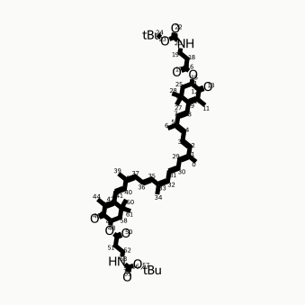 CC(C=CC=C(C)C=CC1=C(C)C(=O)C(OC(=O)CCNC(=O)OC(C)(C)C)CC1(C)C)=CC=CC=C(C)C=CC=C(C)C=CC1=C(C)C(=O)C(OC(=O)CCNC(=O)OC(C)(C)C)CC1(C)C